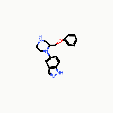 c1ccc(OCC2CNCCN2c2ccc3[nH]ncc3c2)cc1